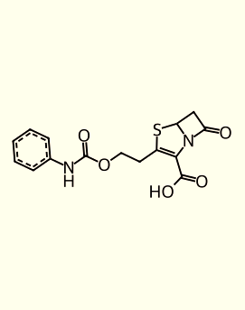 O=C(Nc1ccccc1)OCCC1=C(C(=O)O)N2C(=O)CC2S1